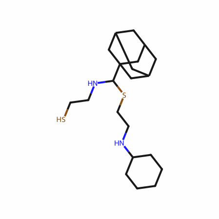 SCCNC(SCCNC1CCCCC1)C12CC3CC(CC(C3)C1)C2